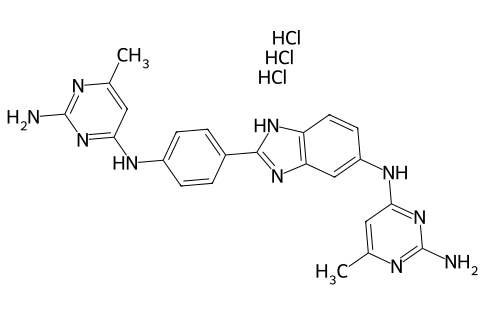 Cc1cc(Nc2ccc(-c3nc4cc(Nc5cc(C)nc(N)n5)ccc4[nH]3)cc2)nc(N)n1.Cl.Cl.Cl